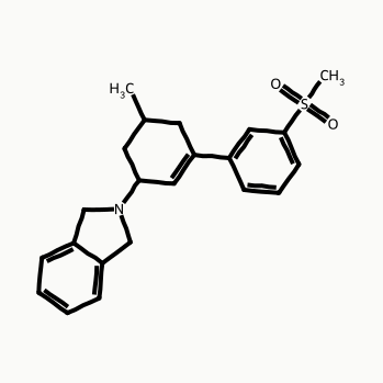 CC1CC(c2cccc(S(C)(=O)=O)c2)=CC(N2Cc3ccccc3C2)C1